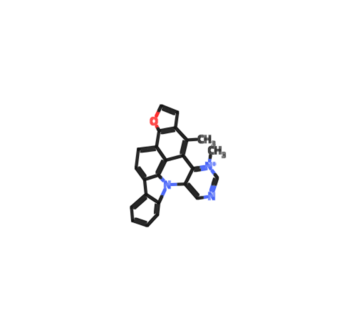 Cc1c2ccoc2c2ccc3c4ccccc4n4c5cnc[n+](C)c5c1c2c34